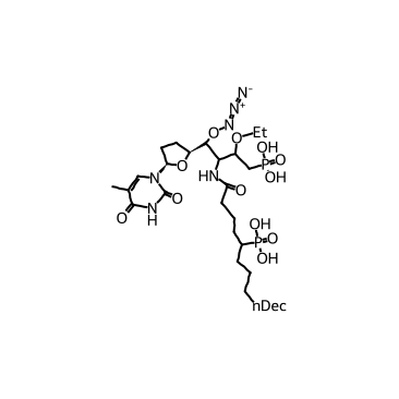 CCCCCCCCCCCCCC(CCCC(=O)NC(C(CP(=O)(O)O)OCC)C(ON=[N+]=[N-])[C@@H]1CC[C@H](n2cc(C)c(=O)[nH]c2=O)O1)P(=O)(O)O